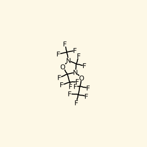 FC(F)(F)N1OC(F)(C(F)(F)F)N(OC(F)(F)C(F)(F)F)C1(F)F